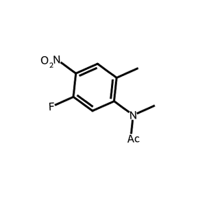 CC(=O)N(C)c1cc(F)c([N+](=O)[O-])cc1C